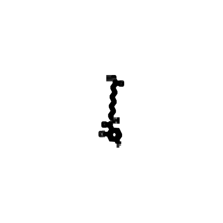 O=C(O)CCCCCCCNC(=O)c1ccc(F)cc1Cl